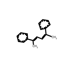 CC(=CC=C(C)c1ccccc1)c1ccccc1